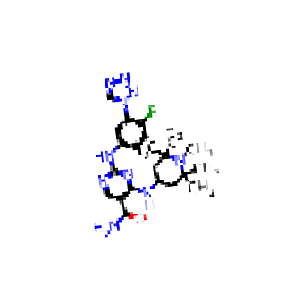 CN1C(C)(C)CC(Nc2nc(Nc3ccc(F)c(-n4cnnn4)c3)ncc2C(N)=O)CC1(C)C